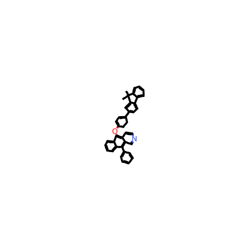 CC1(C)c2ccccc2-c2ccc(C3=CC=C(Oc4c5ccccc5c(-c5ccccc5)c5cnccc45)CC3)cc21